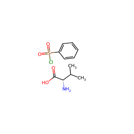 CC(C)[C@H](N)C(=O)O.O=S(=O)(Cl)c1ccccc1